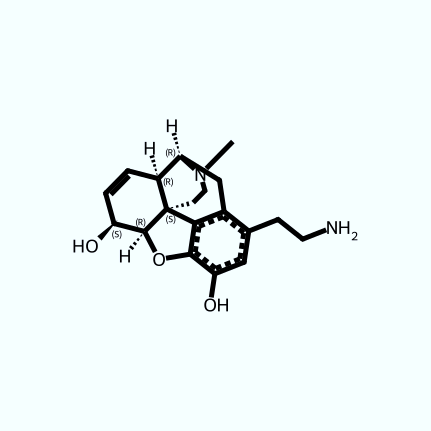 CN1CC[C@]23c4c5c(CCN)cc(O)c4O[C@H]2[C@@H](O)C=C[C@H]3[C@H]1C5